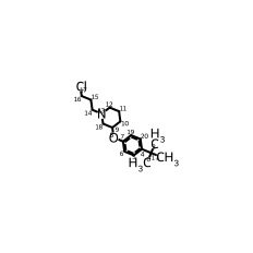 CC(C)(C)c1ccc(OC2CCCN(CCCCl)C2)cc1